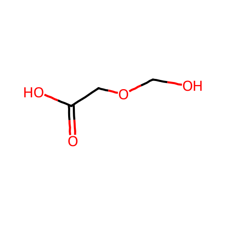 O=C(O)COCO